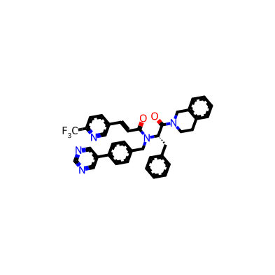 O=C([C@H](Cc1ccccc1)N(Cc1ccc(-c2cncnc2)cc1)C(=O)/C=C/c1ccc(C(F)(F)F)nc1)N1CCc2ccccc2C1